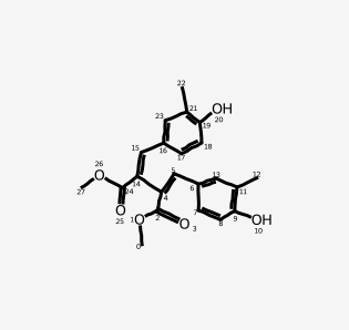 COC(=O)C(=C\c1ccc(O)c(C)c1)/C(=C\c1ccc(O)c(C)c1)C(=O)OC